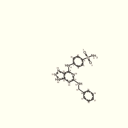 NS(=O)(=O)c1ccc(Nc2nc(NCc3ccccc3)nc3[nH]nnc23)cc1